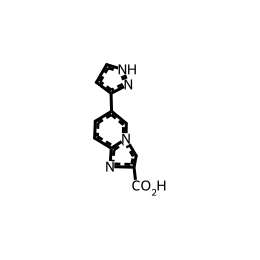 O=C(O)c1cn2cc(-c3cc[nH]n3)ccc2n1